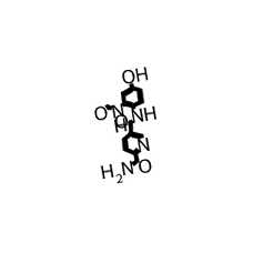 NC(=O)c1ccc(C(=O)Nc2ccc(O)cc2NC=O)cn1